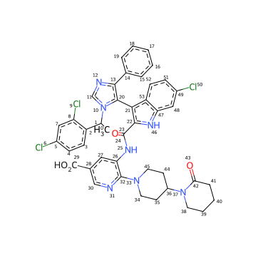 CC(c1ccc(Cl)cc1Cl)n1cnc(-c2ccccc2)c1-c1c(C(=O)Nc2cc(C(=O)O)cnc2N2CCC(N3CCCCC3=O)CC2)[nH]c2cc(Cl)ccc12